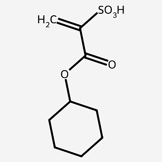 C=C(C(=O)OC1CCCCC1)S(=O)(=O)O